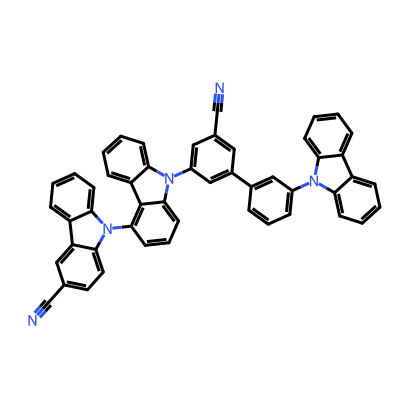 N#Cc1cc(-c2cccc(-n3c4ccccc4c4ccccc43)c2)cc(-n2c3ccccc3c3c(-n4c5ccccc5c5cc(C#N)ccc54)cccc32)c1